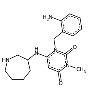 Cn1c(=O)cc(NC2CCCCNC2)n(Cc2ccccc2N)c1=O